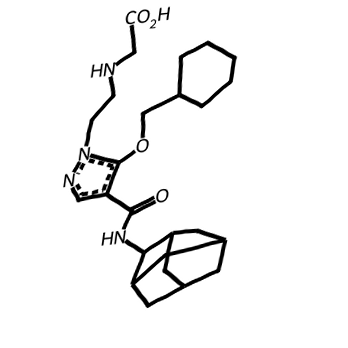 O=C(O)CNCCn1ncc(C(=O)NC2C3CC4CC(C3)CC2C4)c1OCC1CCCCC1